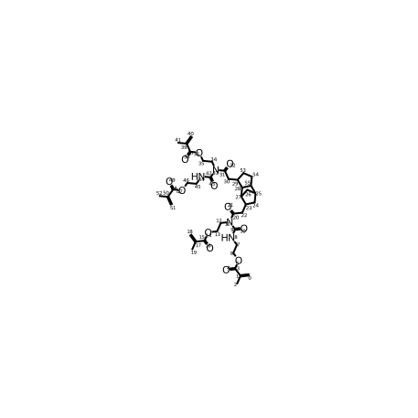 C=C(C)C(=O)OCCNC(=O)N(CCOC(=O)C(=C)C)C(=O)CC1CC2CC1C1C(CC(=O)N(CCOC(=O)C(=C)C)C(=O)NCCOC(=O)C(=C)C)CCC21